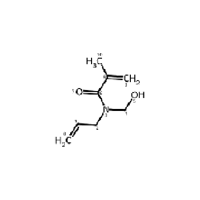 C=CCN(CO)C(=O)C(=C)C